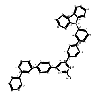 Clc1nc(-c2ccc(-c3cccc(-c4ccccc4)c3)cc2)cc(-c2ccc(-c3cccc(-n4c5ccccc5c5ccccc54)c3)cc2)n1